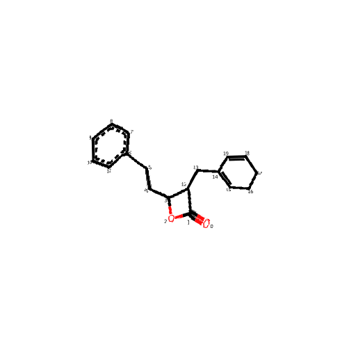 O=C1OC(CCc2ccccc2)C1CC1=CCCC=C1